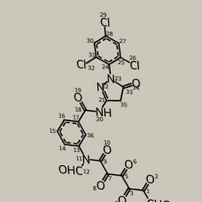 O=CC(=O)C(=O)C(=O)C(=O)C(=O)N(C=O)c1cccc(C(=O)NC2=NN(c3c(Cl)cc(Cl)cc3Cl)C(=O)C2)c1